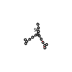 C[Si]1(C)c2cc(-c3ccccc3)ccc2-c2ccc(-n3c4ccc(-c5ccc(-c6ccc(-c7cc8ccccc8c8ccccc78)cc6)cc5)cc4c4cc(-c5ccc(-c6ccc(-c7cc8ccccc8c8ccccc78)cc6)cc5)ccc43)cc21